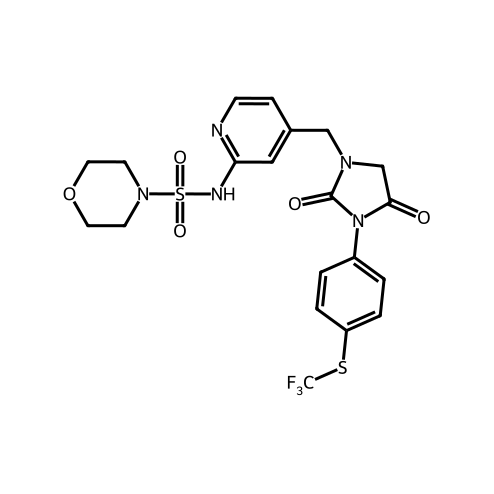 O=C1CN(Cc2ccnc(NS(=O)(=O)N3CCOCC3)c2)C(=O)N1c1ccc(SC(F)(F)F)cc1